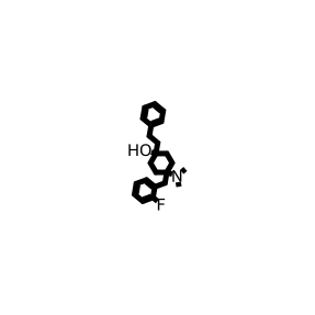 CN(C)C1(Cc2ccccc2F)CCC(O)(CCc2ccccc2)CC1